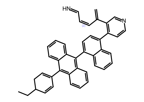 C=C(/C=C\C=N)c1cnccc1-c1ccc(-c2c3ccccc3c(C3=CCC(CC)C=C3)c3ccccc23)c2ccccc12